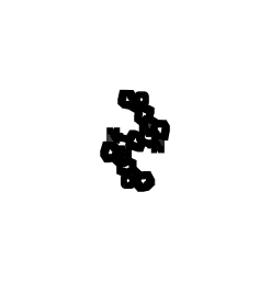 N#Cc1cc(-n2c3ccccc3c3cc4oc5ccccc5c4cc32)c(C#N)cc1-n1c2ccccc2c2cc3oc4ccccc4c3cc21